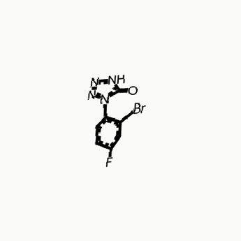 O=c1[nH]nnn1-c1ccc(F)cc1Br